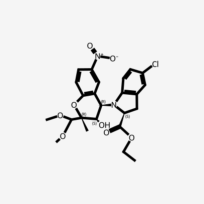 CCOC(=O)[C@@H]1Cc2cc(Cl)ccc2N1[C@@H]1c2cc([N+](=O)[O-])ccc2O[C@@](C)(C(OC)OC)[C@H]1O